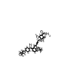 COc1cc(C(N)=O)c(F)cc1NCC#Cc1cc2c(N[C@H]3CC[C@@H](N4CC5(COC5)C4)CC3)cccc2n1CC(F)(F)F